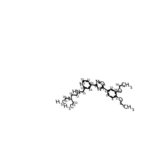 CCOc1ccc(-c2nc(-c3ccnc(CNCCN(CC)CC)c3)no2)cc1OCC